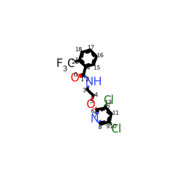 O=C(NCCOc1ncc(Cl)cc1Cl)c1ccccc1C(F)(F)F